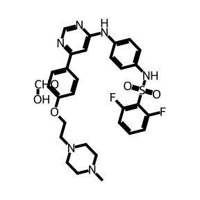 CN1CCN(CCOc2ccc(-c3cc(Nc4ccc(NS(=O)(=O)c5c(F)cccc5F)cc4)ncn3)cc2)CC1.O=CO